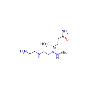 CCCCNN(CCNCCN)[C@@H](CCC(N)=O)C(=O)O